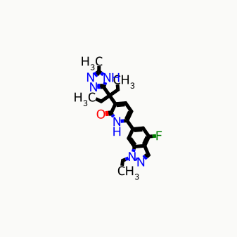 CCn1ncc2c(F)cc(-c3ccc(C(CC)(CC)c4nnc(C)[nH]4)c(=O)[nH]3)cc21